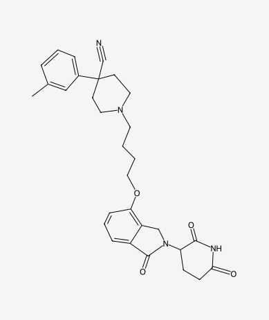 Cc1cccc(C2(C#N)CCN(CCCCOc3cccc4c3CN(C3CCC(=O)NC3=O)C4=O)CC2)c1